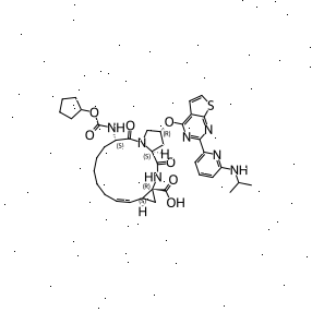 CC(C)Nc1cccc(-c2nc(O[C@@H]3C[C@H]4C(=O)N[C@]5(C(=O)O)C[C@H]5C=CCCCCC[C@H](NC(=O)OC5CCCC5)C(=O)N4C3)c3ccsc3n2)n1